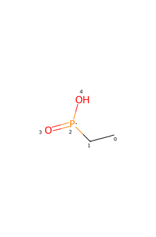 CC[P](=O)O